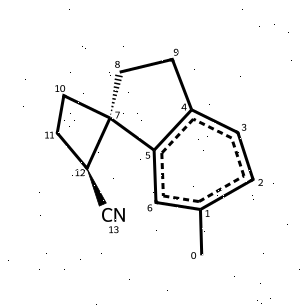 Cc1ccc2c(c1)[C@]1(CC2)CC[C@@H]1C#N